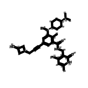 CCN(c1cc(C#CCN2CC(O)C2)cc(C(=O)NCc2c(C(C)C)cc(C)[nH]c2=O)c1C)[C@H]1CC[C@H](N(C)C)CC1